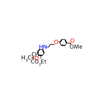 CCOC(=O)C(C)(C)Oc1ccc(NCCCOc2ccc(C(=O)OC)cc2)cc1